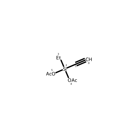 C#C[Si](CC)(OC(C)=O)OC(C)=O